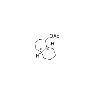 CC(=O)OC1CCC[C@H]2CCCC[C@H]12